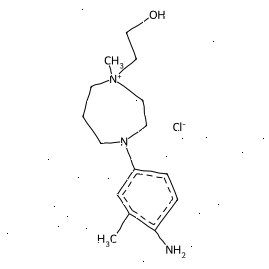 Cc1cc(N2CCC[N+](C)(CCO)CC2)ccc1N.[Cl-]